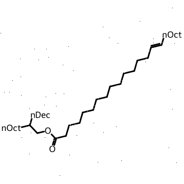 CCCCCCCCC=CCCCCCCCCCCCCCC(=O)OCC(CCCCCCCC)CCCCCCCCCC